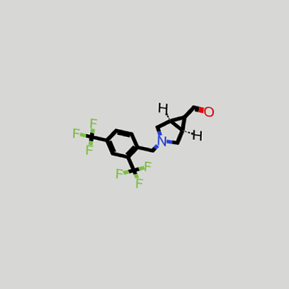 O=CC1[C@H]2CN(Cc3ccc(C(F)(F)F)cc3C(F)(F)F)C[C@@H]12